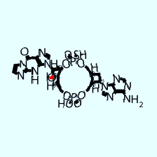 Nc1ncnc2c1ncn2[C@@H]1C[C@@H]2COP(=O)(S)O[C@H]3C(n4cnc5c(=O)n6ccnc6[nH]c54)O[C@H](COP(=O)(O)OC[C@H]21)[C@H]3F